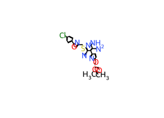 CC1(C)OC[C@@H](COc2ccc(-c3c(C#N)c(N)nc(SCc4coc(-c5ccc(Cl)cc5)n4)c3C#N)cn2)O1